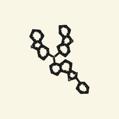 c1ccc(-c2nc3ccc4c(N(c5ccc6sc7ccccc7c6c5)c5ccc6sc7ccccc7c6c5)cccc4c3o2)cc1